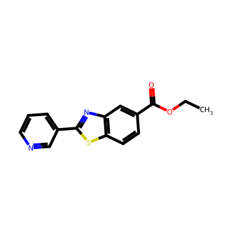 CCOC(=O)c1ccc2sc(-c3cccnc3)nc2c1